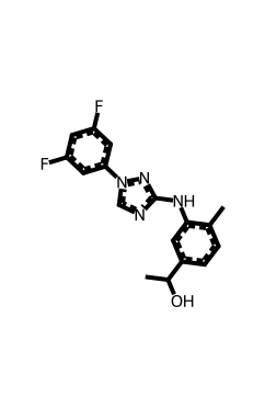 Cc1ccc(C(C)O)cc1Nc1ncn(-c2cc(F)cc(F)c2)n1